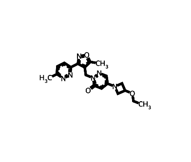 CCOC1CN(c2cnn(Cc3c(-c4ccc(C)nn4)noc3C)c(=O)c2)C1